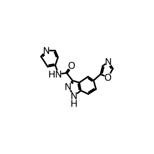 O=C(Nc1ccncc1)c1n[nH]c2ccc(-c3cnco3)cc12